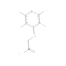 Cc1cc(C)c(C)c(NCC(=O)O)c1C